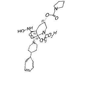 C[C@@]1(C(=O)N2CCC(c3ccccc3)CC2)[C@@H](C(=O)NO)C[C@H](OC(=O)N2CCCC2)CN1C(=O)O